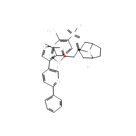 Cc1n[nH]c(CC(=O)N2C3CC[C@H]2C[C@H](c2nc4c(-c5ccc(-c6ccccc6)nc5)cnn4c(N)c2S(C)(=O)=O)C3)n1